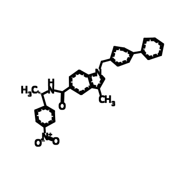 Cc1cn(Cc2ccc(-c3ccccc3)cc2)c2ccc(C(=O)N[C@@H](C)c3ccc([N+](=O)[O-])cc3)cc12